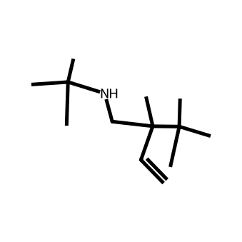 C=CC(C)(CNC(C)(C)C)C(C)(C)C